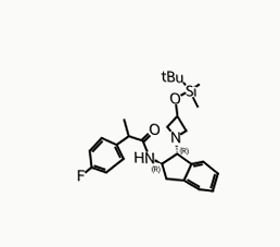 CC(C(=O)N[C@@H]1Cc2ccccc2[C@H]1N1CC(O[Si](C)(C)C(C)(C)C)C1)c1ccc(F)cc1